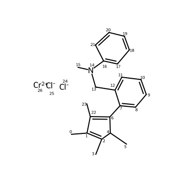 CC1=C(C)C(C)C(c2ccccc2CN(C)c2ccccc2)=C1C.[Cl-].[Cl-].[Cr+2]